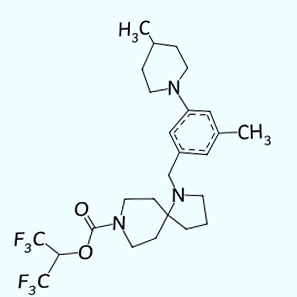 Cc1cc(CN2CCCC23CCN(C(=O)OC(C(F)(F)F)C(F)(F)F)CC3)cc(N2CCC(C)CC2)c1